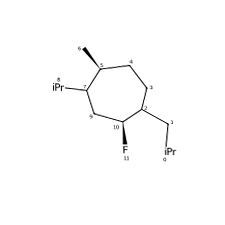 CC(C)CC1CC[C@H](C)C(C(C)C)C[C@@H]1F